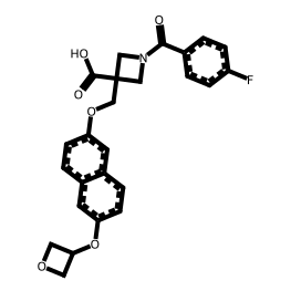 O=C(c1ccc(F)cc1)N1CC(COc2ccc3cc(OC4COC4)ccc3c2)(C(=O)O)C1